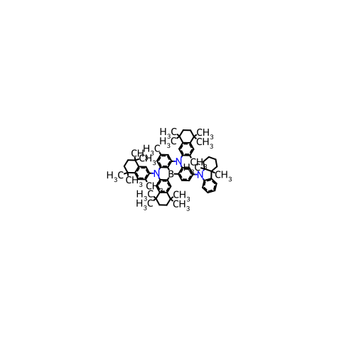 Cc1cc2c3c(c1)N(c1cc4c(cc1C)C(C)(C)CCC4(C)C)c1cc4c(cc1B3c1ccc(N3c5ccccc5C5(C)CCCCC35C)cc1N2c1cc2c(cc1C)C(C)(C)CCC2(C)C)C(C)(C)CCC4(C)C